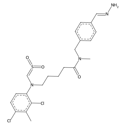 Cc1c(Cl)ccc(N(C=S(=O)=O)CCCCC(=O)N(C)Cc2ccc(C=NN)cc2)c1Cl